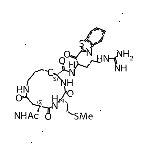 CSCC[C@@H]1NC(=O)[C@@H](NC(C)=O)CC(=O)NCCCC[C@@H](C(=O)NC(CCCNC(=N)N)C(=O)c2nc3ccccc3s2)NC1=O